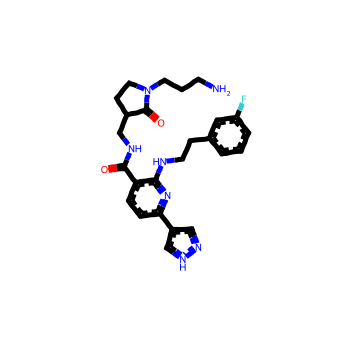 NCCCN1CCC(CNC(=O)c2ccc(-c3cn[nH]c3)nc2NCCc2cccc(F)c2)C1=O